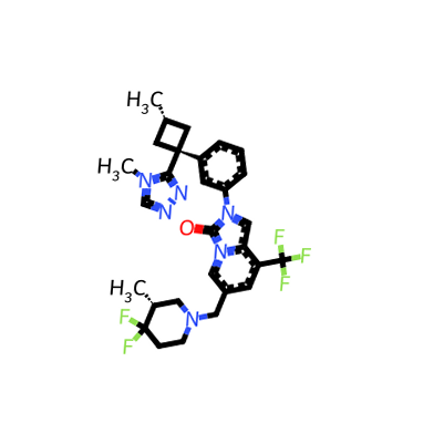 C[C@@H]1CN(Cc2cc(C(F)(F)F)c3cn(-c4cccc([C@]5(c6nncn6C)C[C@@H](C)C5)c4)c(=O)n3c2)CCC1(F)F